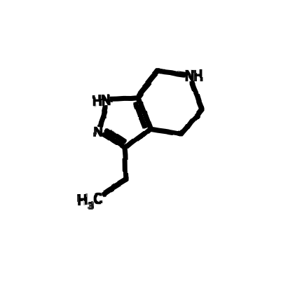 CCc1n[nH]c2c1CCNC2